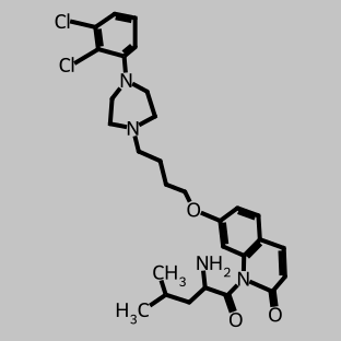 CC(C)CC(N)C(=O)n1c(=O)ccc2ccc(OCCCCN3CCN(c4cccc(Cl)c4Cl)CC3)cc21